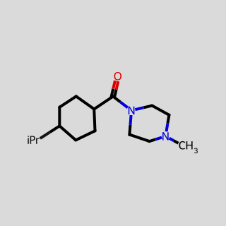 CC(C)C1CCC(C(=O)N2CCN(C)CC2)CC1